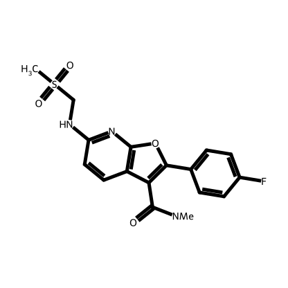 CNC(=O)c1c(-c2ccc(F)cc2)oc2nc(NCS(C)(=O)=O)ccc12